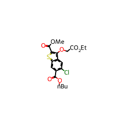 CCCCOC(=O)c1cc2sc(C(=O)OC)c(OCC(=O)OCC)c2cc1Cl